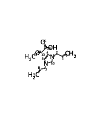 C=CCN1C=CN(CC=C)C1.COCC(=O)O